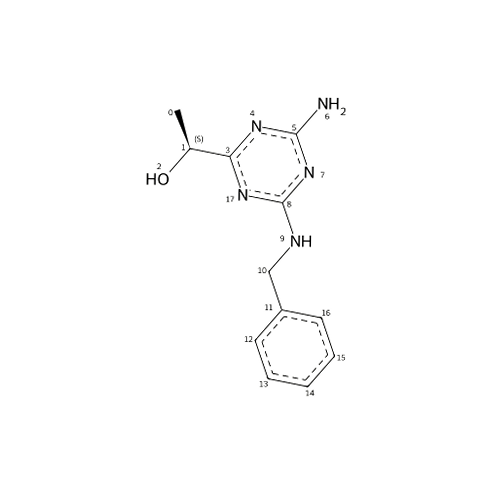 C[C@H](O)c1nc(N)nc(NCc2ccccc2)n1